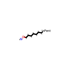 CCCCCCCCCCCCO[N]